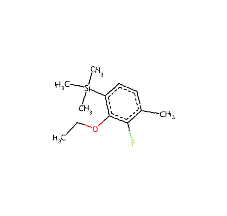 CCOc1c([Si](C)(C)C)ccc(C)c1F